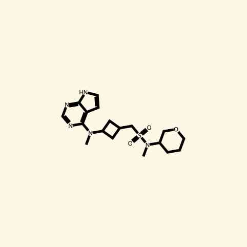 CN(c1ncnc2[nH]ccc12)C1CC(CS(=O)(=O)N(C)C2CCCOC2)C1